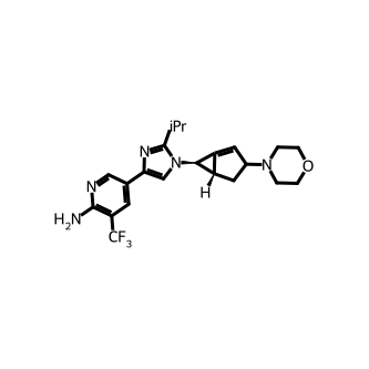 CC(C)c1nc(-c2cnc(N)c(C(F)(F)F)c2)cn1[C@H]1C2=CC(N3CCOCC3)C[C@@H]21